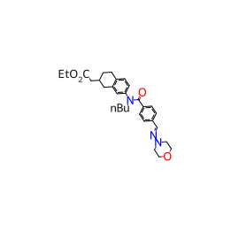 CCCCN(C(=O)c1ccc(C=NN2CCOCC2)cc1)c1ccc2c(c1)CC(CC(=O)OCC)CC2